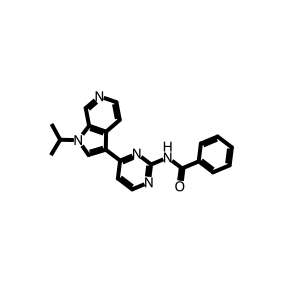 CC(C)n1cc(-c2ccnc(NC(=O)c3ccccc3)n2)c2ccncc21